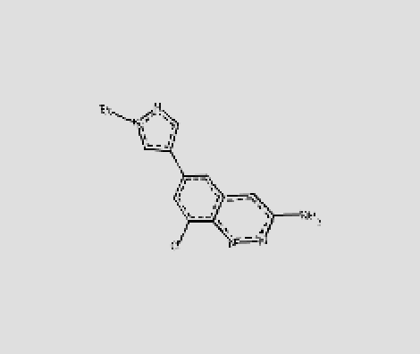 CCn1cc(-c2cc(Cl)c3nnc(N)cc3c2)cn1